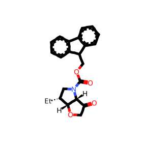 CC[C@@H]1CN(C(=O)OCC2c3ccccc3-c3ccccc32)[C@@H]2C(=O)CO[C@H]12